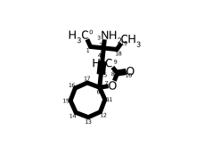 CCC(N)(C#CC1(OC(C)=O)CCCCCCC1)CC